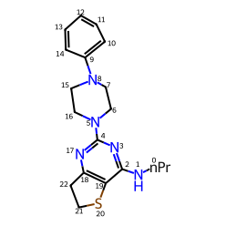 CCCNc1nc(N2CCN(c3ccccc3)CC2)nc2c1SCC2